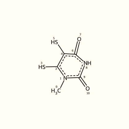 Cn1c(S)c(S)c(=O)[nH]c1=O